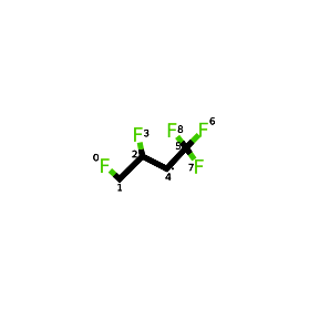 FCC(F)[CH]C(F)(F)F